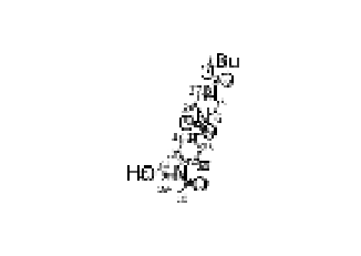 CC(C)(C)OC(=O)N1CCN(S(=O)(=O)c2ccc(N3C(=O)CCC3CO)c(F)c2)CC1